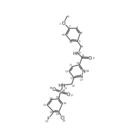 COc1ccc(CNC(=O)c2ccc(CNS(=O)(=O)c3ccc(F)c(Cl)c3)nn2)cc1